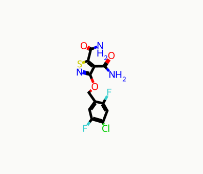 NC(=O)c1snc(OCc2cc(F)c(Cl)cc2F)c1C(N)=O